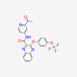 CC(=O)c1cc(NC(=O)c2nc3ccccc3nc2Oc2ccc(OC(F)(F)F)cc2)ccn1